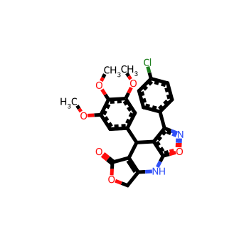 COc1cc(C2C3=C(COC3=O)Nc3onc(-c4ccc(Cl)cc4)c32)cc(OC)c1OC